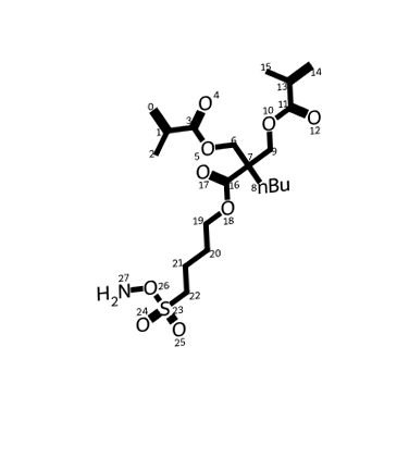 C=C(C)C(=O)OCC(CCCC)(COC(=O)C(=C)C)C(=O)OCCCCS(=O)(=O)ON